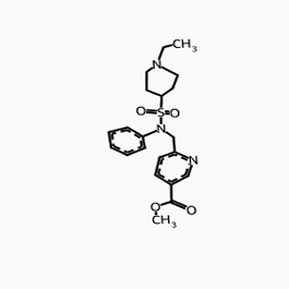 CCN1CCC(S(=O)(=O)N(Cc2ccc(C(=O)OC)cn2)c2ccccc2)CC1